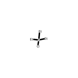 CCS(Cl)(CC)CC